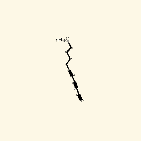 [C]#CC#CC#CCCCCCCCCCC